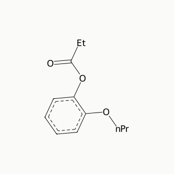 CCCOc1ccccc1OC(=O)CC